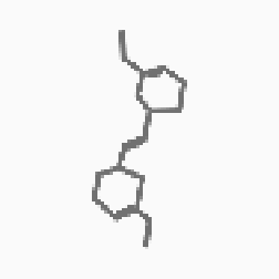 CCC1=CCCC(C=CC2CCC=C(CC)C2)C1